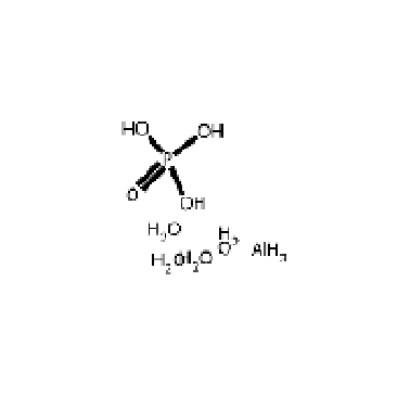 O.O.O.O.O=P(O)(O)O.[AlH3]